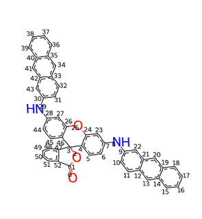 O=C1OC2(c3ccc(Nc4ccc5cc6ccccc6cc5c4)cc3Oc3cc(Nc4ccc5cc6ccccc6cc5c4)ccc32)c2ccccc21